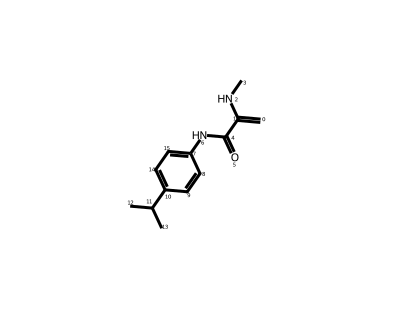 C=C(NC)C(=O)Nc1ccc(C(C)C)cc1